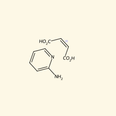 Nc1ccccn1.O=C(O)/C=C\C(=O)O